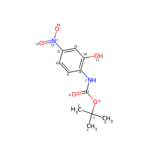 CC(C)(C)OC(=O)Nc1ccc([N+](=O)[O-])cc1O